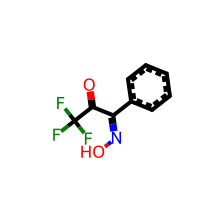 O=C(C(=NO)c1ccccc1)C(F)(F)F